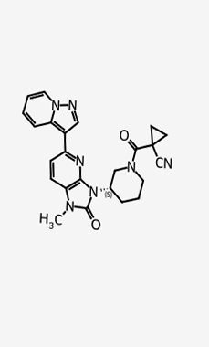 Cn1c(=O)n([C@H]2CCCN(C(=O)C3(C#N)CC3)C2)c2nc(-c3cnn4ccccc34)ccc21